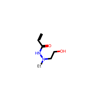 C=CC(=O)NN(CC)CCO